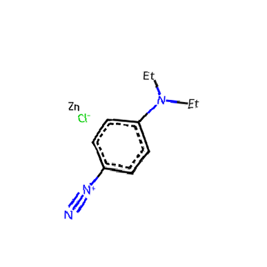 CCN(CC)c1ccc([N+]#N)cc1.[Cl-].[Zn]